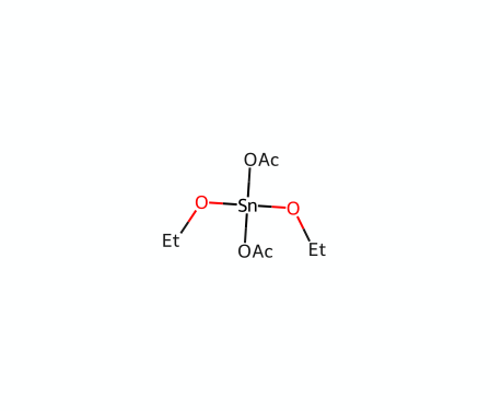 CC[O][Sn]([O]CC)([O]C(C)=O)[O]C(C)=O